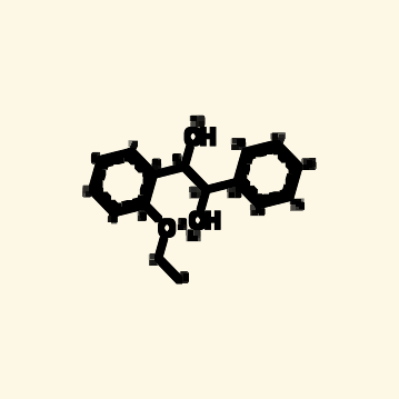 CCOc1ccccc1C(O)C(O)c1ccccc1